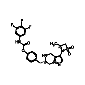 C[C@H]1CS(=O)(=O)N1c1cnn2c1CN[C@@H](Cc1ccc(OC(=O)Nc3cc(F)c(F)c(F)c3)cc1)C2